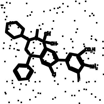 CN1C(C2CCCCC2)CN(c2ccccc2)c2cc(Cl)c(-c3cc(F)c(N)c(C(=O)O)c3)cc2S1(O)O